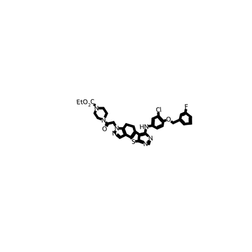 CCOC(=O)N1CCN(C(=O)Cn2ncc3c2CCc2c-3sc3ncnc(Nc4ccc(OCc5cccc(F)c5)c(Cl)c4)c23)CC1